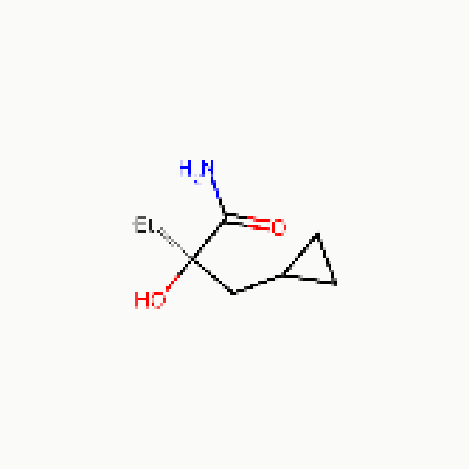 C[CH][C@@](O)(CC1CC1)C(N)=O